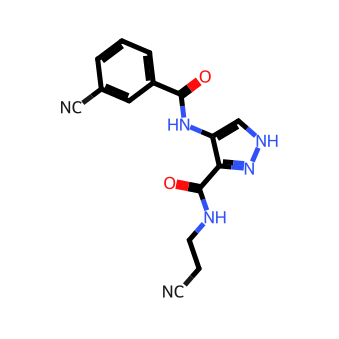 N#CCCNC(=O)c1n[nH]cc1NC(=O)c1cccc(C#N)c1